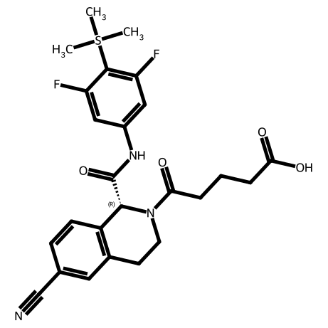 CS(C)(C)c1c(F)cc(NC(=O)[C@H]2c3ccc(C#N)cc3CCN2C(=O)CCCC(=O)O)cc1F